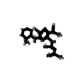 CC(=N)/C=C(\O)Nc1nc(N[C@@H]2CCCC[C@@H]2N)c(F)cc1C(N)=O